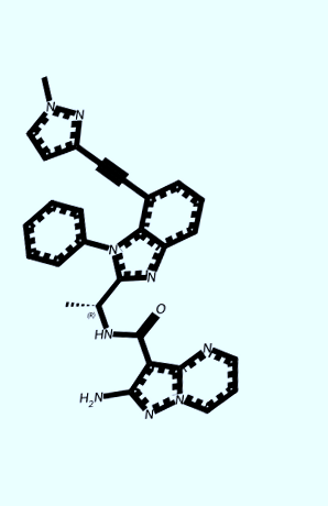 C[C@@H](NC(=O)c1c(N)nn2cccnc12)c1nc2cccc(C#Cc3ccn(C)n3)c2n1-c1ccccc1